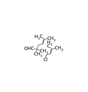 CC(C)=CCC(C)(C)C=O.CC(C)=CCCl